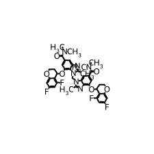 Cc1nc2c(OC3CCOc4cc(F)cc(F)c43)cc(C(=O)N(C)C)cc2n1Cn1c(C)nc2cc(C(=O)N(C)C)cc(OC3CCOc4cc(F)cc(F)c43)c21